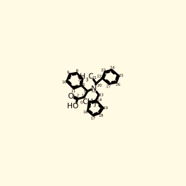 CC(C(=O)O)C(c1ccccc1)N(Cc1ccccc1)C(C)c1ccccc1